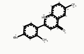 Cc1cc(C(C)(C)C)ccc1-c1cc(=O)c2cc(C(F)(F)F)ccc2[nH]1